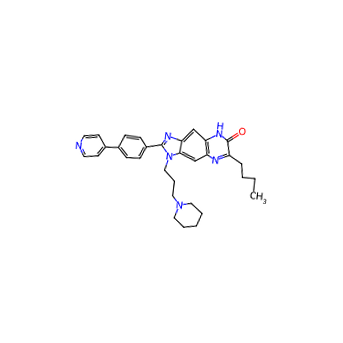 CCCCc1nc2cc3c(cc2[nH]c1=O)nc(-c1ccc(-c2ccncc2)cc1)n3CCCN1CCCCC1